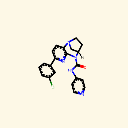 O=C(Nc1ccncc1)N1c2nc(-c3cccc(Cl)c3)ccc2N2CC[C@H]1C2